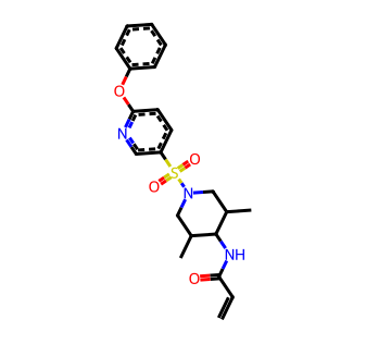 C=CC(=O)NC1C(C)CN(S(=O)(=O)c2ccc(Oc3ccccc3)nc2)CC1C